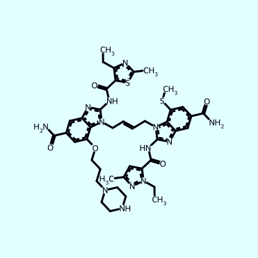 CCc1nc(C)sc1C(=O)Nc1nc2cc(C(N)=O)cc(OCCCN3CCNCC3)c2n1C/C=C/Cn1c(NC(=O)c2cc(C)nn2CC)nc2cc(C(N)=O)cc(SC)c21